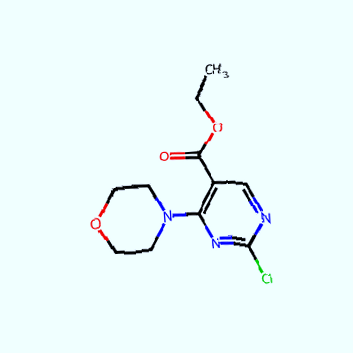 CCOC(=O)c1cnc(Cl)nc1N1CCOCC1